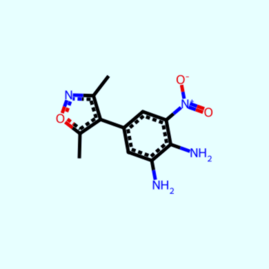 Cc1noc(C)c1-c1cc(N)c(N)c([N+](=O)[O-])c1